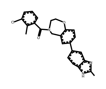 Cc1nc2cc(-c3ccc4c(c3)CN(C(=O)c3cccc(Cl)c3C)CCO4)ccc2[nH]1